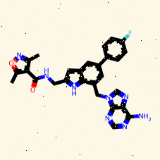 Cc1noc(C)c1C(=O)NCc1cc2cc(-c3ccc(F)cc3)cc(Cn3cnc4c(N)ncnc43)c2[nH]1